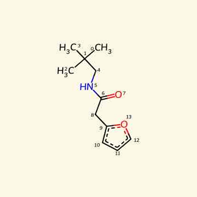 CC(C)(C)CNC(=O)Cc1ccco1